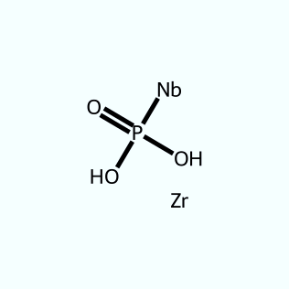 O=[P](O)(O)[Nb].[Zr]